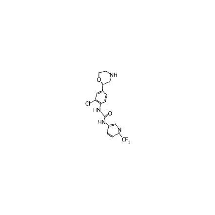 O=C(Nc1ccc(C(F)(F)F)nc1)Nc1ccc([C@@H]2CNCCO2)cc1Cl